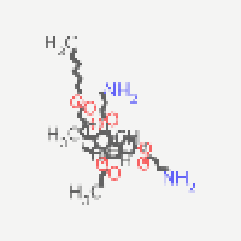 CCCCCCCCOC(=O)CC[C@@H](C)[C@H]1CC[C@H]2[C@@H]3[C@H](OC(=O)CCC)C[C@@H]4C[C@H](OC(=O)CCCN)CC[C@]4(C)[C@H]3C[C@H](OC(=O)CCCN)[C@]12C